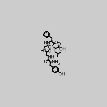 CC(C)C[C@H](NC(=O)[C@H](Cc1ccccc1)NC(=O)CN(C)C(=O)CNC(=O)[C@@H](N)Cc1ccc(O)cc1)C(=O)O